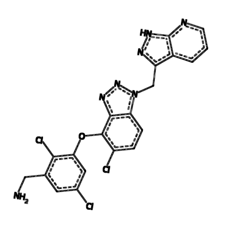 NCc1cc(Cl)cc(Oc2c(Cl)ccc3c2nnn3Cc2n[nH]c3ncccc23)c1Cl